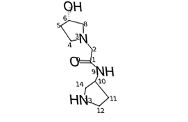 O=C(CN1CC[C@H](O)C1)NC1CCNC1